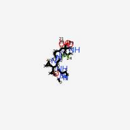 CCn1nccc1C(=O)NC(c1cn2nc(CC3(C(=O)OC)CC(F)(F)CNC3=O)ccc2n1)C(C1CC1)C1CC1